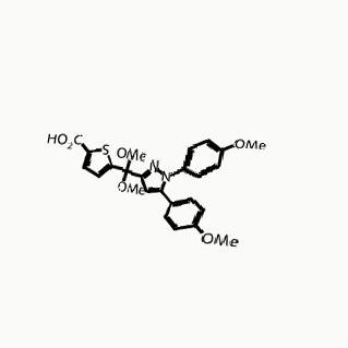 COc1ccc(-c2cc(C(OC)(OC)c3ccc(C(=O)O)s3)nn2-c2ccc(OC)cc2)cc1